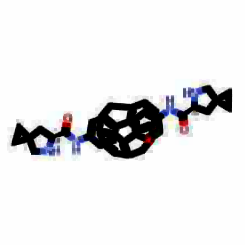 O=C(Nc1ccc(-c2cc3ccc2CCc2ccc(c(-c4ccc(NC(=O)[C@@H]5CC6(CC6)CN5)cc4)c2)CC3)cc1)[C@@H]1CC2(CC2)CN1